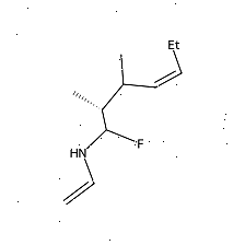 C=CNC(F)[C@H](C)C(C)/C=C\CC